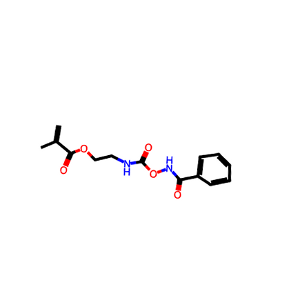 C=C(C)C(=O)OCCNC(=O)ONC(=O)c1ccccc1